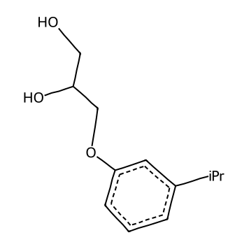 CC(C)c1cccc(OCC(O)CO)c1